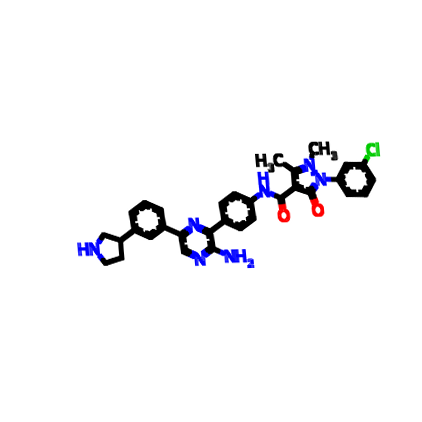 Cc1c(C(=O)Nc2ccc(-c3nc(-c4cccc(C5CCNC5)c4)cnc3N)cc2)c(=O)n(-c2cccc(Cl)c2)n1C